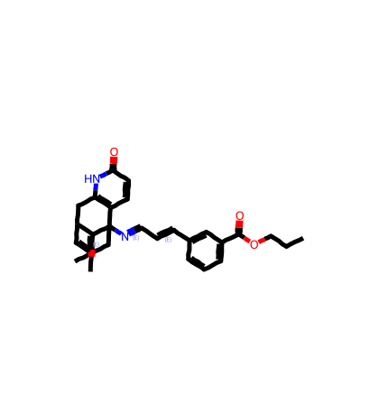 C/C=C1\C2C=C(C)CC1(/N=C/C=C/c1cccc(C(=O)OCCC)c1)c1ccc(=O)[nH]c1C2